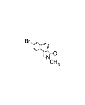 CN1Cc2c(ccc3cc(Br)ccc23)C1=O